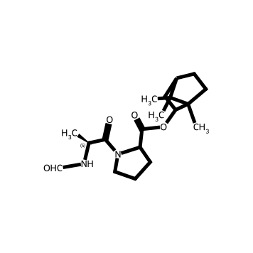 C[C@H](NC=O)C(=O)N1CCCC1C(=O)OC1CC2CCC1(C)C2(C)C